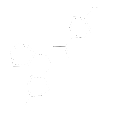 COc1ccc(C(=O)CC(Sc2ccc(Cl)cc2)c2ccccc2)cc1